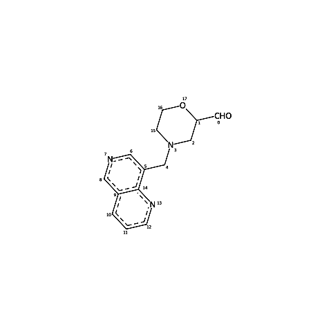 O=CC1CN(Cc2cncc3cccnc23)CCO1